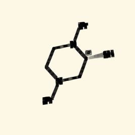 CC(C)N1CCN(C(C)C)[C@H](S)C1